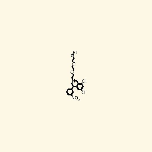 CCOCCOCCOCCN1Cc2c(Cl)cc(Cl)cc2C(c2cccc([N+](=O)[O-])c2)C1